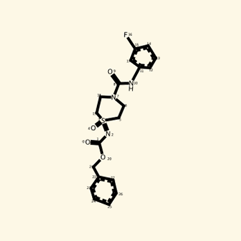 O=C(N=S1(=O)CCN(C(=O)Nc2cccc(F)c2)CC1)OCc1ccccc1